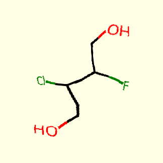 OCC(F)C(Cl)CO